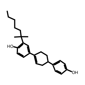 CCCCCC(C)(C)c1cc(C2=CCC(c3ccc(O)cc3)CC2)ccc1O